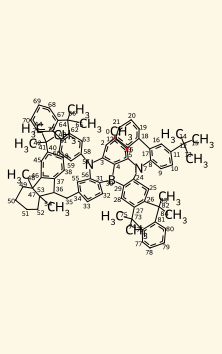 Cc1cc2c3c(c1)N(c1ccc(C(C)(C)C)cc1-c1ccccc1)c1cc4c(cc1B3c1ccc(CC3c5ccc(C(C)(C)C)cc5C5(C)CCCCC35C)cc1N2c1ccc2c(c1)C(C)(C)c1ccccc1-2)C(C)(C)c1ccccc1C4(C)C